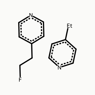 CCc1ccncc1.FCCc1ccncc1